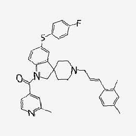 Cc1ccc(C=CCN2CCC3(CC2)CN(C(=O)c2ccnc(C)c2)c2ccc(Sc4ccc(F)cc4)cc23)c(C)c1